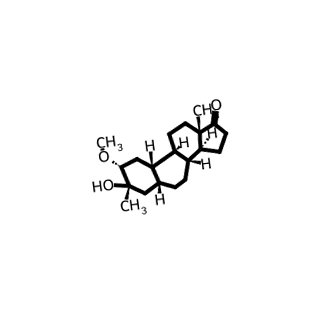 CO[C@@H]1C[C@H]2[C@H](CC[C@@H]3[C@@H]2CC[C@]2(C)C(=O)CC[C@@H]32)C[C@]1(C)O